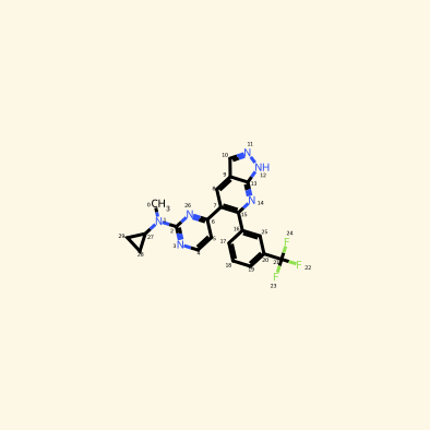 CN(c1nccc(-c2cc3cn[nH]c3nc2-c2cccc(C(F)(F)F)c2)n1)C1CC1